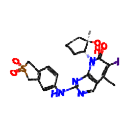 Cc1c(I)c(=O)n([C@@H]2CCC[C@@]2(C)O)c2nc(Nc3ccc4c(c3)CS(=O)(=O)C4)ncc12